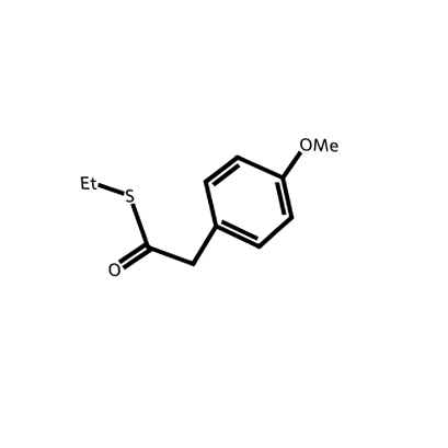 CCSC(=O)Cc1ccc(OC)cc1